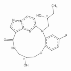 CC[C@@H](O)CN1c2ccn3ncc(c3n2)C(=O)NC[C@@H](O)COc2ccc(F)cc21